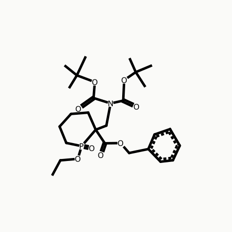 CCOP1(=O)CCCCC1(CN(C(=O)OC(C)(C)C)C(=O)OC(C)(C)C)C(=O)OCc1ccccc1